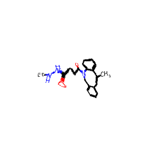 CCNNC(=O)CCC(=O)N1Cc2ccccc2/C=C(/C)c2ccccc21